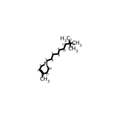 CC1=CCN(CCCCCCCC(C)(C)C)CC1